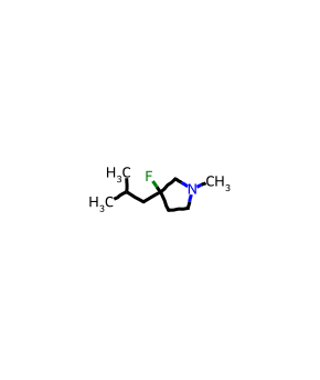 CC(C)CC1(F)CCN(C)C1